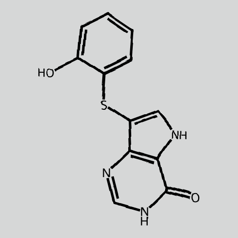 O=c1[nH]cnc2c(Sc3ccccc3O)c[nH]c12